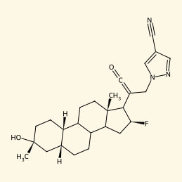 C[C@@]1(O)CC[C@@H]2C3CC[C@@]4(C)C(C[C@H](F)C4C(=C=O)Cn4cc(C#N)cn4)C3CC[C@@H]2C1